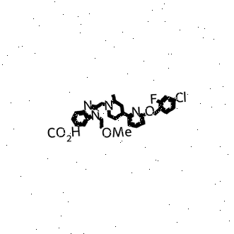 COCCn1c(CN2CCC(c3cccc(OCc4ccc(Cl)cc4F)n3)CC2C)nc2ccc(C(=O)O)cc21